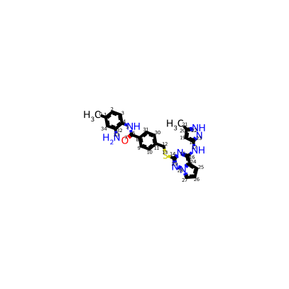 Cc1ccc(NC(=O)c2ccc(CSc3nc(Nc4cc(C)[nH]n4)c4cccn4n3)cc2)c(N)c1